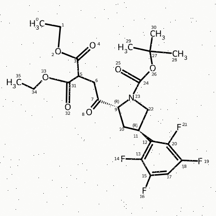 CCOC(=O)C(CC(=O)[C@H]1C[C@H](c2c(F)c(F)cc(F)c2F)CN1C(=O)OC(C)(C)C)C(=O)OCC